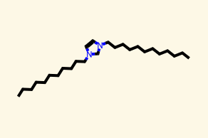 CCCCCCCCCCCCN1C=CN(CCCCCCCCCCC)C1